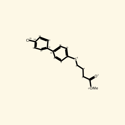 COC(=O)CCCSc1ccc(-c2ccc(Cl)cc2)cc1